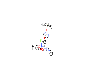 CC(C)(C)OC(=O)N[C@@H](Cc1ccc(Oc2ccnc3c2ccn3COCCS(C)(C)C)c(F)c1)C(=O)N1CCN(Cc2ccccc2)CC1